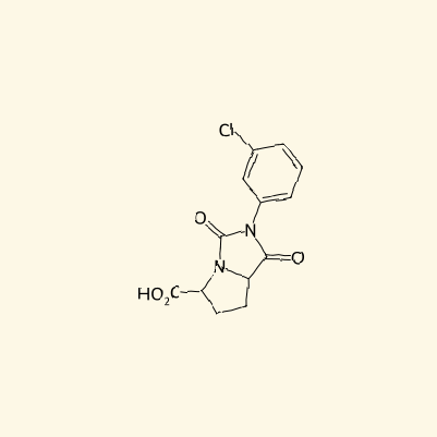 O=C(O)C1CCC2C(=O)N(c3cccc(Cl)c3)C(=O)N12